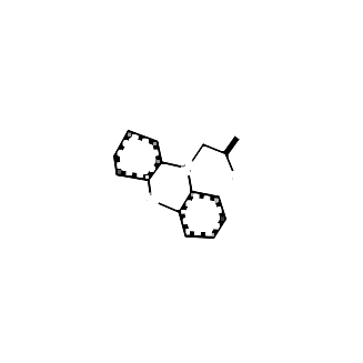 O=C(Cl)CN1c2ccccc2Oc2ccccc21